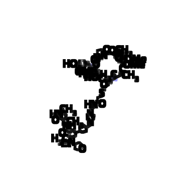 CCN(c1cc(-c2ccc(CN3CCN(CCNC(=O)CCSCCC[C@@H]4/C=C(\C)C[C@H](C)C[C@H](OC)[C@H]5O[C@@](O)(C(=O)C(=O)N6CCCC[C@H]6C(=O)O[C@H](/C(C)=C/[C@@H]6CC[C@@H](O)[C@H](OC)C6)[C@H](C)[C@@H](O)CC4=O)[C@H](C)C[C@@H]5OC)CC3)cc2)cc(C(=O)NCc2c(C)cc(C)[nH]c2=O)c1C)C1CCOCC1